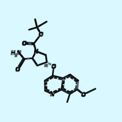 COc1ccc2c(O[C@@H]3CC(C(N)=O)N(C(=O)OC(C)(C)C)C3)ccnc2c1C